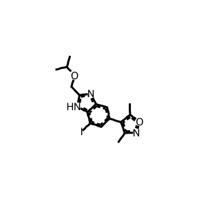 Cc1noc(C)c1-c1cc(I)c2[nH]c(COC(C)C)nc2c1